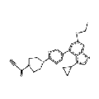 C#CC(=O)N1CCN(c2ccc(-c3cc(OCC)cn4ncc(C5CC5)c34)cn2)CC1